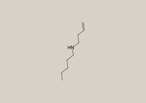 C=CCCNCCCCC